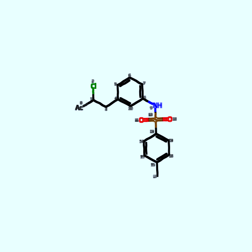 CC(=O)C(Cl)Cc1cccc(NS(=O)(=O)c2ccc(C)cc2)c1